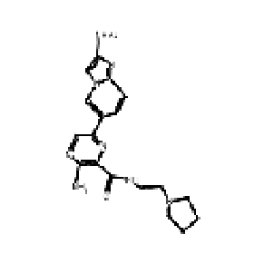 CC(=O)Nc1cn2cc(-c3cnc(N)c(C(=O)NCCN4CCCC4)n3)ccc2n1